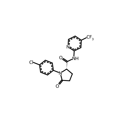 O=C(Nc1cc(C(F)(F)F)ccn1)[C@@H]1CCC(=O)N1c1ccc(Cl)cc1